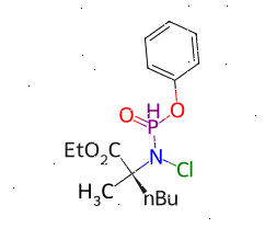 CCCC[C@@](C)(C(=O)OCC)N(Cl)[PH](=O)Oc1ccccc1